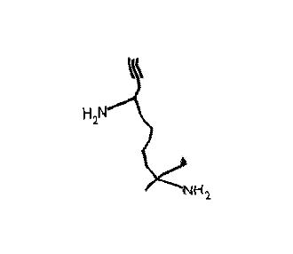 C#CC(N)CCC(C)(C)N